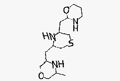 CC1COCC(CC2CSCC(CC3NCCCO3)N2)N1